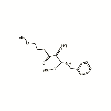 CCCCOCCCC(=O)C(=O)C(NCc1ccccc1)OCCCC.Cl